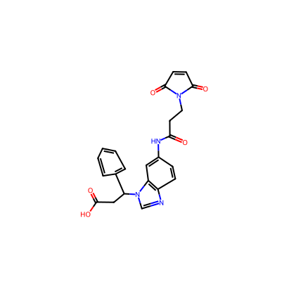 O=C(O)CC(c1ccccc1)n1cnc2ccc(NC(=O)CCN3C(=O)C=CC3=O)cc21